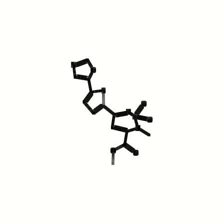 COC(=O)C1=CC(c2ccc(-c3cnco3)s2)=NS(=O)(=O)N1C